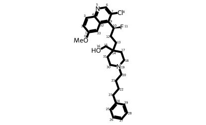 COc1ccc2ncc(Cl)c([C@@H](F)CCC3(CO)CCN(CCCCc4ccccc4)CC3)c2c1